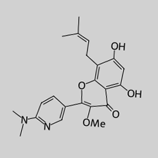 COc1c(-c2ccc(N(C)C)nc2)oc2c(CC=C(C)C)c(O)cc(O)c2c1=O